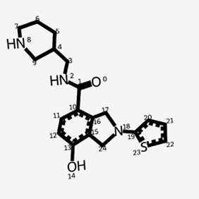 O=C(NCC1CCCNC1)c1ccc(O)c2c1CN(c1cccs1)C2